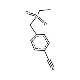 CCS(=O)(=O)Cc1ccc(C#N)cc1